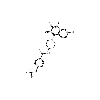 Cn1c(=O)c(=O)n([C@H]2CC[C@H](NC(=O)c3ccc(OC(F)(F)F)cc3)CC2)c2ncc(Cl)cc21